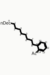 CCCCCCCCCCCCCCCCC[CH]c1ccccc1C(C)=O